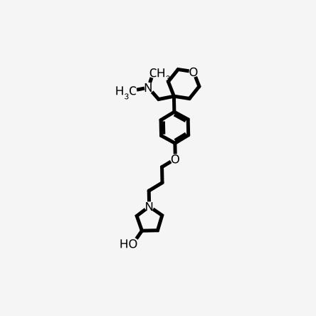 CN(C)CC1(c2ccc(OCCCN3CCC(O)C3)cc2)CCOCC1